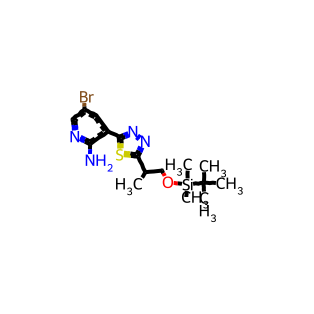 CC(CO[Si](C)(C)C(C)(C)C)c1nnc(-c2cc(Br)cnc2N)s1